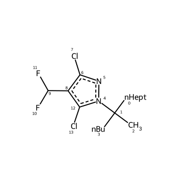 CCCCCCCC(C)(CCCC)n1nc(Cl)c(C(F)F)c1Cl